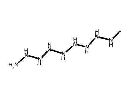 CNNNNNNNNN